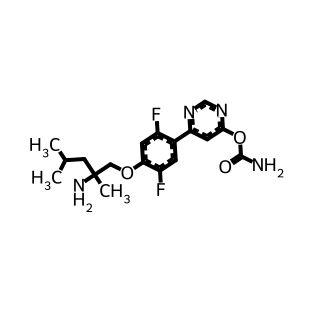 CC(C)CC(C)(N)COc1cc(F)c(-c2cc(OC(N)=O)ncn2)cc1F